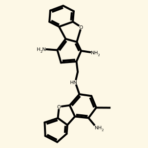 Cc1cc(NCc2cc(N)c3c(oc4ccccc43)c2N)c2oc3ccccc3c2c1N